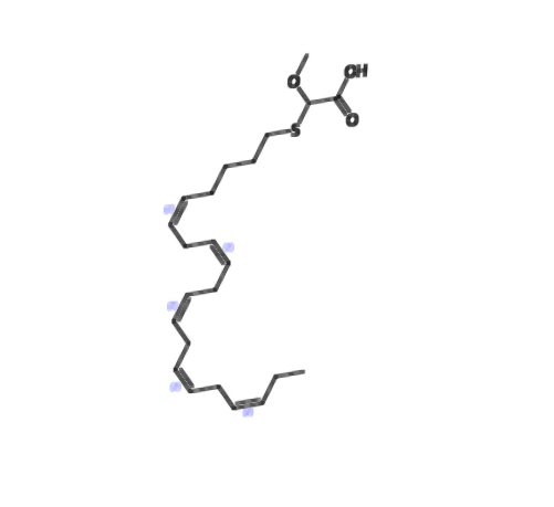 CC/C=C\C/C=C\C/C=C\C/C=C\C/C=C\CCCCSC(OC)C(=O)O